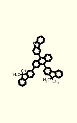 CC1(C)c2ccccc2-c2cc(-c3c4ccccc4c(-c4ccc5sc6ccccc6c5c4)c4ccc(-c5ccc6c(c5)C(C)(C)c5ccccc5-6)cc34)ccc21